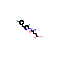 CNC(=O)CCC(=N)C(=O)Nc1ncc(Cc2cccc(Cl)c2)cc1F